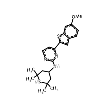 COc1ccc2cc(-c3ccnc(NC4CC(C)(C)NC(C)(C)C4)n3)sc2c1